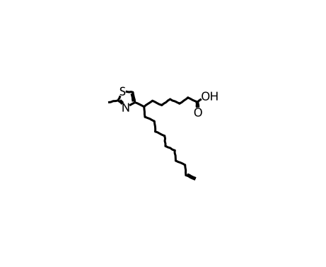 C=CCCCCCCCCC(CCCCCC(=O)O)c1csc(C)n1